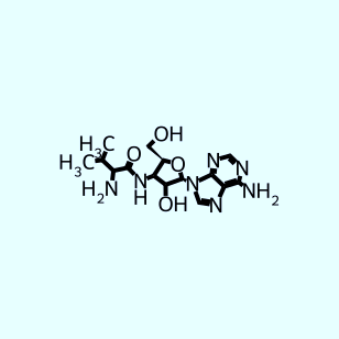 CC(C)C(N)C(=O)NC1C(O)[C@H](n2cnc3c(N)ncnc32)O[C@@H]1CO